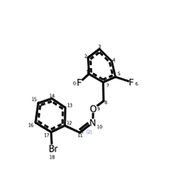 Fc1cccc(F)c1CO/N=[C]\c1ccccc1Br